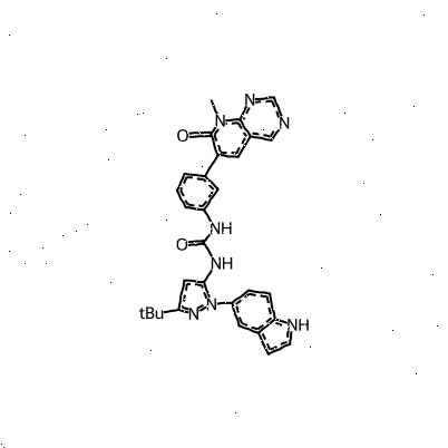 Cn1c(=O)c(-c2cccc(NC(=O)Nc3cc(C(C)(C)C)nn3-c3ccc4[nH]ccc4c3)c2)cc2cncnc21